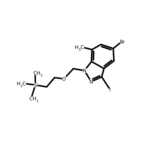 Cc1cc(Br)cc2c(I)nn(COCC[Si](C)(C)C)c12